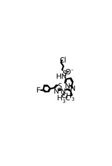 CCc1nc2ccc(N[S+]([O-])CCCCl)cn2c1N(C)c1nc(-c2ccc(F)cc2)cs1